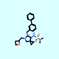 CN(C)S(=O)(=O)N[C@@H]1[C@H](Cc2cccc(-c3ccccc3)c2)N(CC2CCO2)CC12CC2